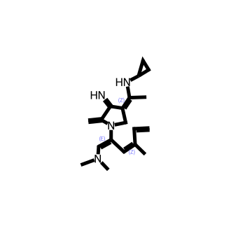 C=C/C(C)=C\C(=C/N(C)C)N1C/C(=C(\C)NC2CC2)C(=N)C1=C